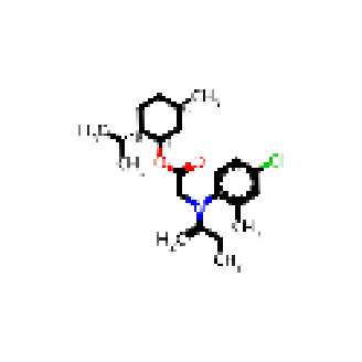 C=C(CC)N(CC(=O)O[C@@H]1C[C@H](C)CC[C@H]1C(C)C)c1ccc(Cl)cc1C